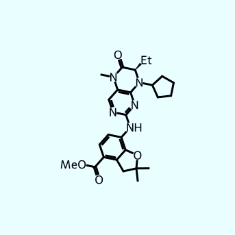 CC[C@@H]1C(=O)N(C)c2cnc(Nc3ccc(C(=O)OC)c4c3OC(C)(C)C4)nc2N1C1CCCC1